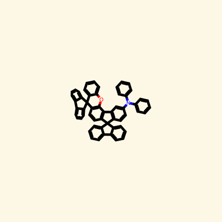 c1ccc(N(c2ccccc2)c2ccc3c(c2)-c2c(ccc4c2Oc2ccccc2C42c4ccccc4-c4ccccc42)C32c3ccccc3-c3ccccc32)cc1